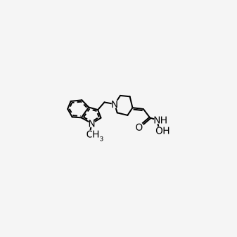 Cn1cc(CN2CCC(=CC(=O)NO)CC2)c2ccccc21